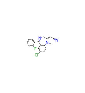 CN1C(=CC#N)CN=C(c2ccccc2F)c2cc(Cl)ccc21